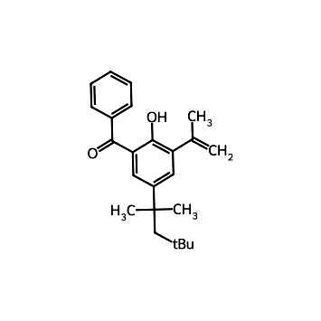 C=C(C)c1cc(C(C)(C)CC(C)(C)C)cc(C(=O)c2ccccc2)c1O